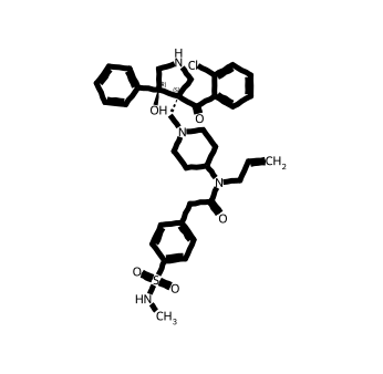 C=CCN(C(=O)Cc1ccc(S(=O)(=O)NC)cc1)C1CCN(C[C@@]2(C(=O)c3ccccc3Cl)CNC[C@@]2(O)c2ccccc2)CC1